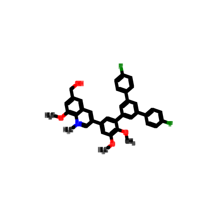 COc1cc(-c2cc3cc(CO)cc(OC)c3[n+](C)c2)cc(-c2cc(-c3ccc(F)cc3)cc(-c3ccc(F)cc3)c2)c1OC